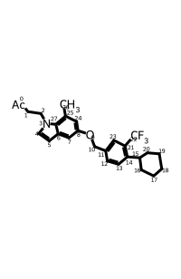 CC(=O)CCn1ccc2cc(OCc3ccc(C4CCCCC4)c(C(F)(F)F)c3)cc(C)c21